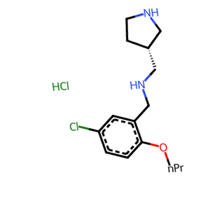 CCCOc1ccc(Cl)cc1CNC[C@@H]1CCNC1.Cl